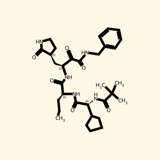 CCC[C@H](NC(=O)[C@H](NC(=O)C(C)(C)C)C1CCCC1)C(=O)N[C@@H](C[C@@H]1CCNC1=O)C(=O)C(=O)NCc1ccccc1